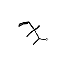 C=CC(C)(C)C(C)[S]